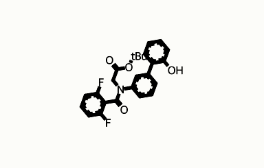 CC(C)(C)OC(=O)CN(C(=O)c1c(F)cccc1F)c1cccc(-c2ccccc2O)c1